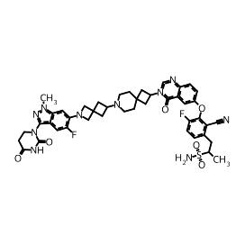 CC(Cc1ccc(F)c(Oc2ccc3ncn(C4CC5(CCN(C6CC7(C6)CN(c6cc8c(cc6F)c(N6CCC(=O)NC6=O)nn8C)C7)CC5)C4)c(=O)c3c2)c1C#N)S(N)(=O)=O